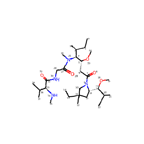 CC[C@H](C)[C@@H]([C@@H](CC(=O)N1CC(C)(CC)C[C@H]1C(OC)C(C)C)OC)N(C)C(=O)CNC(=O)[C@@H](NC)C(C)C